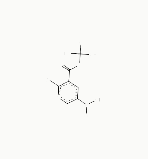 CC(C)(C)OC(=O)c1cc(B(O)O)cnc1Cl